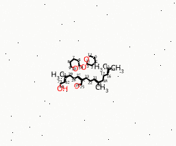 C1CCC(OC2CCCCO2)OC1.CC(C)=CCCC(C)=CCCC(C=O)=CCCC(C)=CCO